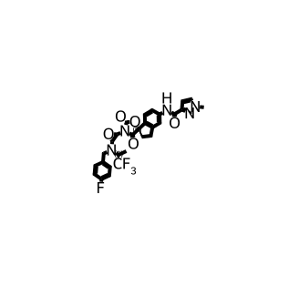 C[C@H](N(Cc1ccc(F)cc1)C1OC1N1C(=O)O[C@@]2(CCc3cc(NC(=O)c4ccn(C)n4)ccc32)C1=O)C(F)(F)F